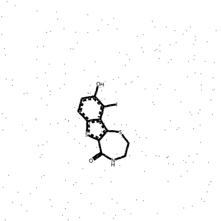 O=C1NCCSc2c1sc1ccc(O)c(I)c21